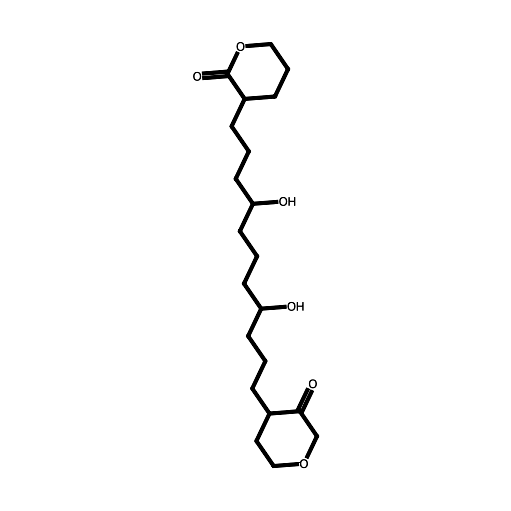 O=C1COCCC1CCCC(O)CCCC(O)CCCC1CCCOC1=O